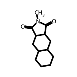 CN1C(=O)C2CC3CCCCC3CC2C1=O